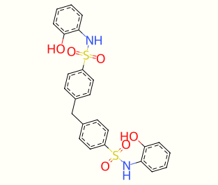 O=S(=O)(Nc1ccccc1O)c1ccc(Cc2ccc(S(=O)(=O)Nc3ccccc3O)cc2)cc1